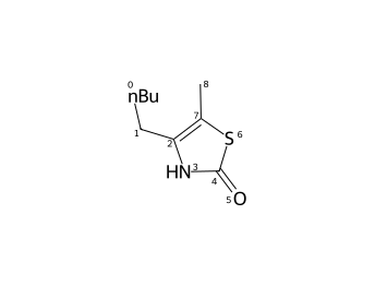 CCCCCc1[nH]c(=O)sc1C